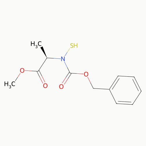 COC(=O)[C@@H](C)N(S)C(=O)OCc1ccccc1